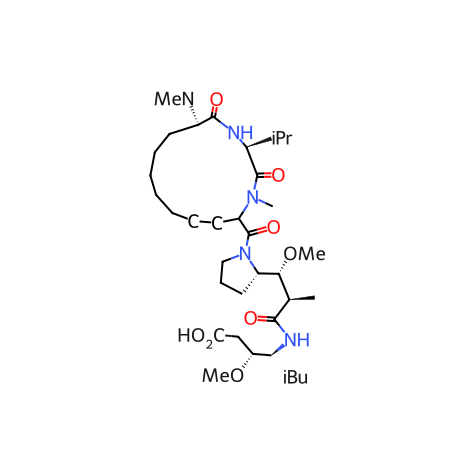 CC[C@H](C)[C@H](NC(=O)[C@H](C)[C@@H](OC)[C@@H]1CCCN1C(=O)C1CCCCCCC[C@H](NC)C(=O)N[C@@H](C(C)C)C(=O)N1C)[C@@H](CC(=O)O)OC